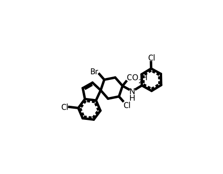 O=C(O)C1(Nc2cccc(Cl)c2)CC(Br)C2(C=Cc3c(Cl)cccc32)CC1Cl